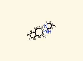 CC1=C(\Nc2cc(C)ccn2)CC=C=c2cccc\c2=C\1